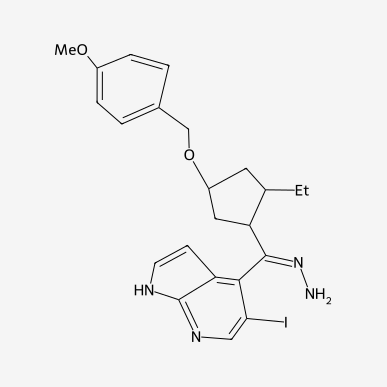 CCC1CC(OCc2ccc(OC)cc2)CC1/C(=N/N)c1c(I)cnc2[nH]ccc12